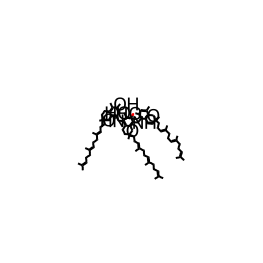 CC(C)=CCC/C(C)=C/CC/C(C)=C/CCC1(C)CCc2c(Nc3c(C)c(O)c(Nc4cc(O)c(C)c5c4OC(C)(CC/C=C(\C)CC/C=C(\C)CCC=C(C)C)CC5)c4c3OC(C)(CC/C=C(\C)CC/C=C(\C)CCC=C(C)C)CC4)c(O)cc(C)c2O1